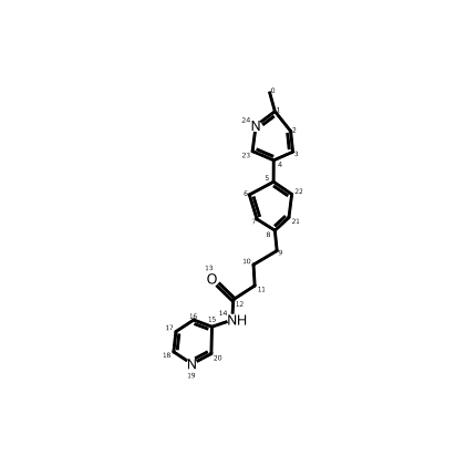 Cc1ccc(-c2ccc(CCCC(=O)Nc3cccnc3)cc2)cn1